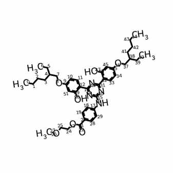 CCCCC(CC)COc1ccc(-c2nc(Nc3ccc(C(=O)OCCOC)cc3)nc(-c3ccc(OCC(CC)CCCC)cc3O)n2)c(O)c1